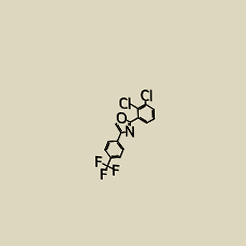 FC(F)(F)c1ccc(-c2coc(-c3cccc(Cl)c3Cl)n2)cc1